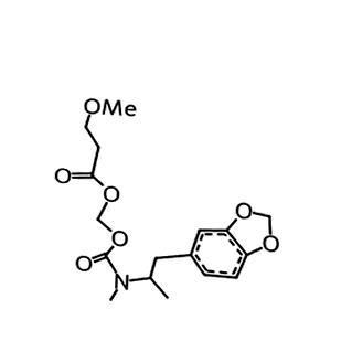 COCCC(=O)OCOC(=O)N(C)C(C)Cc1ccc2c(c1)OCO2